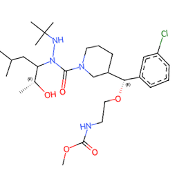 COC(=O)NCCO[C@@H](c1cccc(Cl)c1)C1CCCN(C(=O)N(NC(C)(C)C)C(CC(C)C)[C@@H](C)O)C1